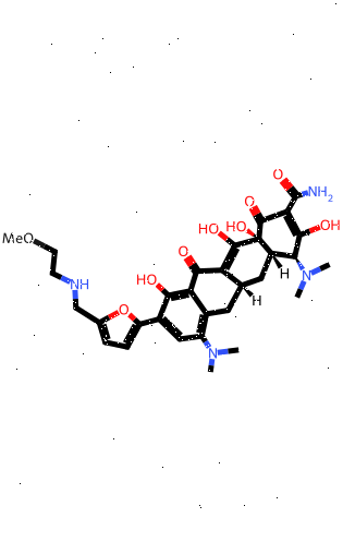 COCCNCc1ccc(-c2cc(N(C)C)c3c(c2O)C(=O)C2=C(O)[C@]4(O)C(=O)C(C(N)=O)=C(O)[C@@H](N(C)C)[C@@H]4C[C@@H]2C3)o1